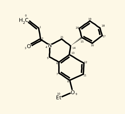 C=CC(=O)N1Cc2cc(OCC)ccc2[C@@H](c2ccccc2)C1